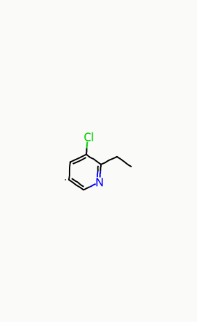 CCc1nc[c]cc1Cl